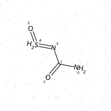 NC(=O)N=[SH2]=O